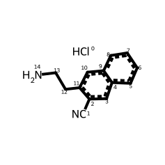 Cl.N#Cc1cc2ccccc2cc1CCN